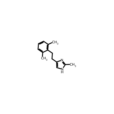 Cc1nc(CCc2c(C)cccc2C)c[nH]1